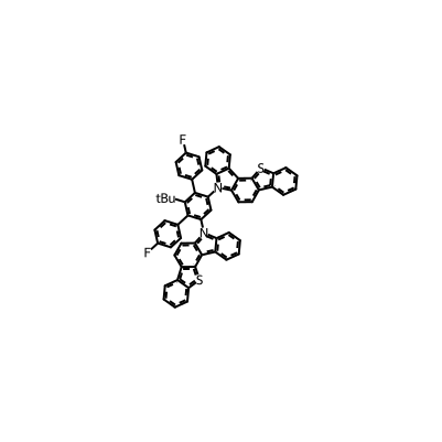 CC(C)(C)c1c(-c2ccc(F)cc2)c(-n2c3ccccc3c3c4sc5ccccc5c4ccc32)cc(-n2c3ccccc3c3c4sc5ccccc5c4ccc32)c1-c1ccc(F)cc1